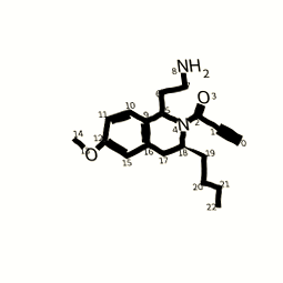 C#CC(=O)N1C(CCN)c2ccc(OC)cc2C[C@@H]1CCCC